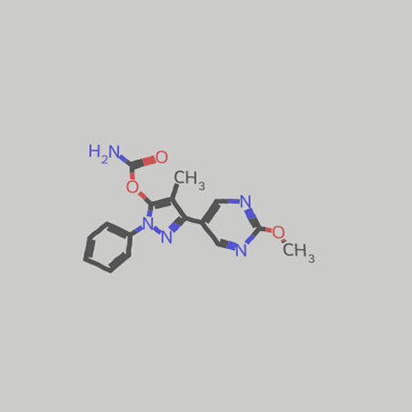 COc1ncc(-c2nn(-c3ccccc3)c(OC(N)=O)c2C)cn1